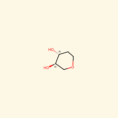 O[C@@H]1CCOC[C@H]1O